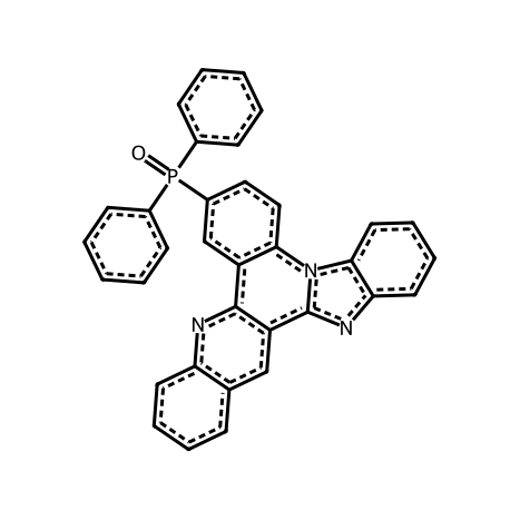 O=P(c1ccccc1)(c1ccccc1)c1ccc2c(c1)c1nc3ccccc3cc1c1nc3ccccc3n21